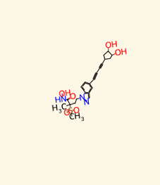 CC(CCn1ncc2cc(C#CC#CC3C[C@@H](O)[C@@H](O)C3)ccc21)(C(=O)NO)S(C)(=O)=O